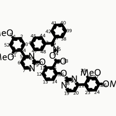 COc1ccc(-c2ccnc(Oc3cccc(Oc4nccc(-c5ccc(OC)cc5OC)n4)c3C(=O)ON=C(c3ccccc3)c3ccccc3)n2)c(OC)c1